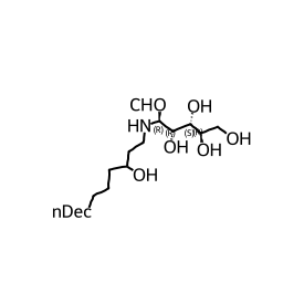 CCCCCCCCCCCCCC(O)CCN[C@@H](C=O)[C@@H](O)[C@H](O)[C@H](O)CO